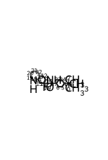 CC(C)(C)c1ccc(C(=O)Nc2cc3c(cc2F)NCCCC3)cc1